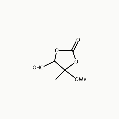 COC1(C)OC(=O)OC1C=O